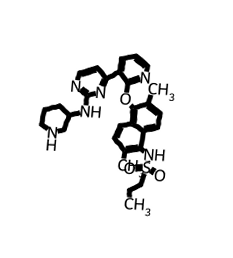 CCCS(=O)(=O)Nc1c(C)ccc2c(Oc3ncccc3-c3ccnc(NC4CCCNC4)n3)c(C)ccc12